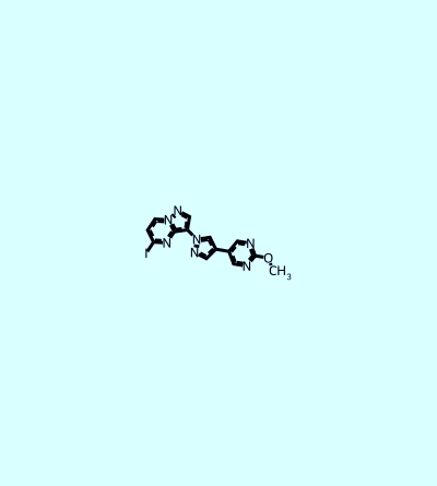 COc1ncc(-c2cnn(-c3cnn4ccc(I)nc34)c2)cn1